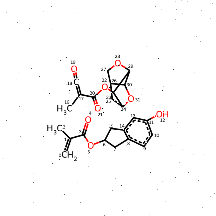 C=C(C)C(=O)OC1Cc2ccc(O)cc2C1.CC(=C=O)C(=O)OC1C2CC3COC1C3O2